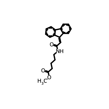 COC(=O)CCCCNC(=O)C=C1c2ccccc2-c2ccccc21